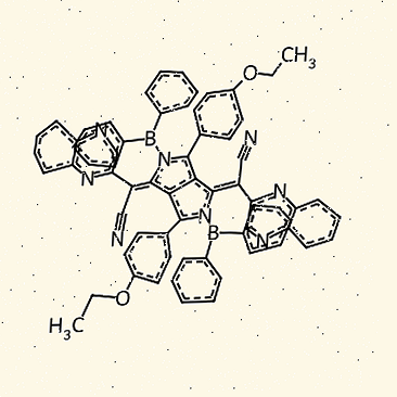 CCOc1ccc(-c2c3/c(=C(\C#N)c4cnc5ccccc5n4)n(B(c4ccccc4)c4ccccc4)c(-c4ccc(OCC)cc4)c3/c(=C(\C#N)c3cnc4ccccc4n3)n2B(c2ccccc2)c2ccccc2)cc1